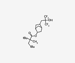 CC(C)(C)CC(C)(C(=O)OC1CC2CC1CC2CC(O)(C(F)(F)F)C(F)(F)F)C(C)(C)C